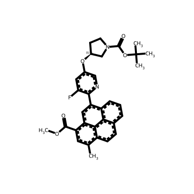 COC(=O)c1cc(C)c2ccc3cccc4c(-c5ncc(O[C@H]6CCN(C(=O)OC(C)(C)C)C6)cc5F)cc1c2c34